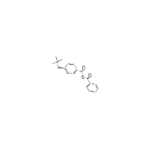 CC(C)(C)Cc1ccc(C(=O)OC(=O)c2ccccc2)cc1